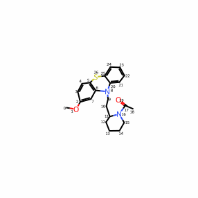 COc1ccc2c(c1)N(CCC1CCCCN1C(C)=O)c1ccccc1S2